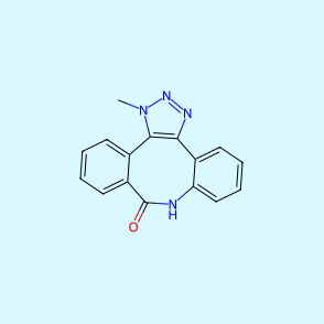 Cn1nnc2c1-c1ccccc1C(=O)Nc1ccccc1-2